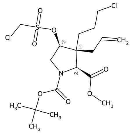 C=CC[C@]1(CCCCl)[C@H](OS(=O)(=O)CCl)CN(C(=O)OC(C)(C)C)[C@@H]1C(=O)OC